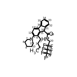 CCCCc1c(N2CCCCC2)ccc2c1C(C(=O)NCC(F)(F)C(F)(F)C(F)(F)F)c1ccccc1-2